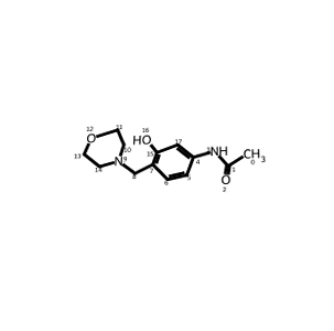 CC(=O)Nc1ccc(CN2CCOCC2)c(O)c1